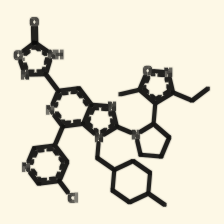 CCc1noc(C)c1C1CCCN1c1nc2cc(-c3noc(=O)[nH]3)nc(-c3cncc(Cl)c3)c2n1CC1CCC(C)CC1